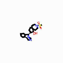 CS(=O)(=O)N1CCC2(CC[C@H](C3c4ccccc4-c4cncn43)[C@@H]2O)CC1